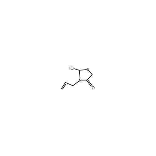 C=CCN1C(=O)CSC1O